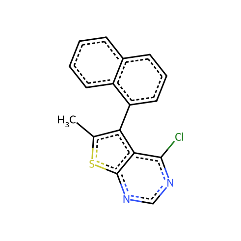 Cc1sc2ncnc(Cl)c2c1-c1cccc2ccccc12